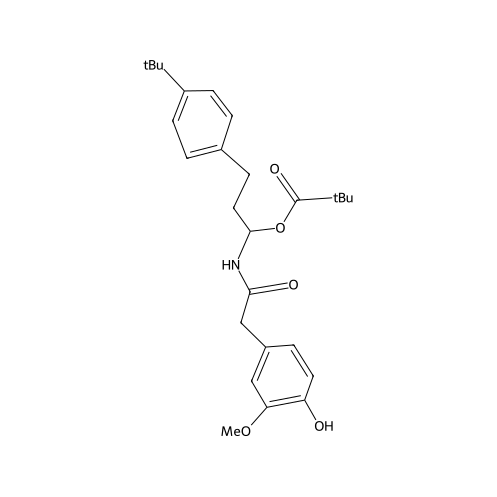 COc1cc(CC(=O)NC(CCc2ccc(C(C)(C)C)cc2)OC(=O)C(C)(C)C)ccc1O